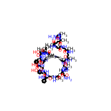 CC(=O)N[C@@H](CC(C)C)C(=O)N[C@H](C(=O)N[C@@H](Cc1ccccc1)C(=O)N[C@]1(C)CCCCCC/C=C/CCC[C@@](C)(C(=O)CN[C@@H](C)C(=O)CCN[C@@H](C)C(=O)CCN[C@@H](C)C(=O)CCN[C@@H](C)C(=O)CCC(=O)[C@H](C)NCN(C)CC(N)=O)NC(=O)[C@H](CC(C)C)NN[C@@H](CCC(N)=O)C(=O)CC(=O)[C@H](C)NCC(=O)[C@H](Cc2c[nH]c3ccccc23)NC(=O)[C@H](Cc2ccc(O)cc2)NC(=O)[C@H](CCC(=O)O)NC1=O)[C@@H](C)O